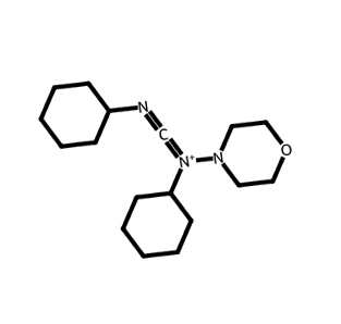 C(=NC1CCCCC1)=[N+](C1CCCCC1)N1CCOCC1